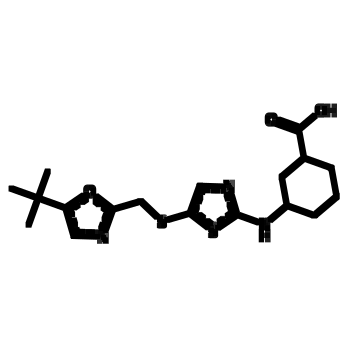 CC(C)(C)c1cnc(CSc2cnc(NC3CCCC(C(=O)O)C3)s2)o1